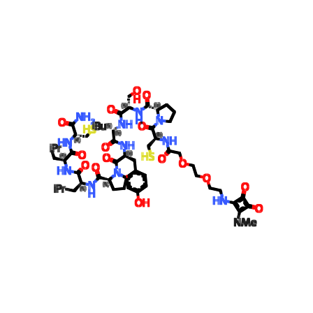 CC[C@H](C)[C@H](NC(=O)[C@H](CO)NC(=O)[C@@H]1CCCN1C(=O)[C@H](CS)NC(=O)COCCOCCNc1c(NC)c(=O)c1=O)C(=O)N[C@@H](Cc1ccc(O)cc1)C(=O)N1CCC[C@H]1C(=O)N[C@@H](CC(C)C)C(=O)N[C@@H](CC(C)C)C(=O)N[C@@H](CS)C(N)=O